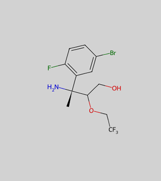 C[C@@](N)(c1cc(Br)ccc1F)C(CO)OCC(F)(F)F